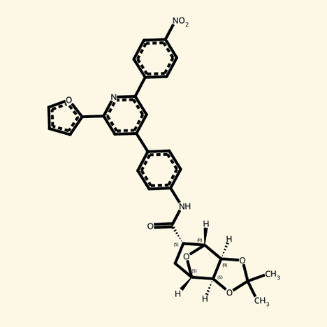 CC1(C)O[C@H]2[C@@H](O1)[C@@H]1C[C@H](C(=O)Nc3ccc(-c4cc(-c5ccc([N+](=O)[O-])cc5)nc(-c5ccco5)c4)cc3)[C@H]2O1